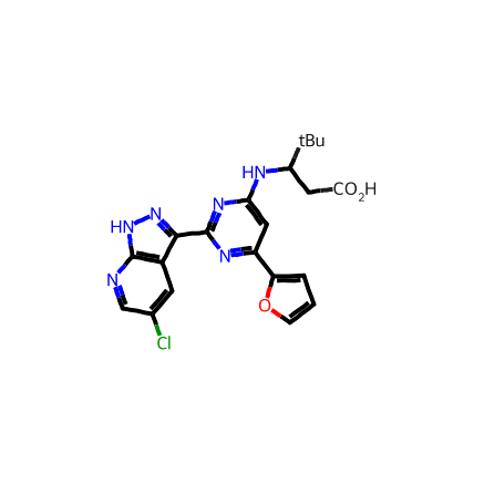 CC(C)(C)C(CC(=O)O)Nc1cc(-c2ccco2)nc(-c2n[nH]c3ncc(Cl)cc23)n1